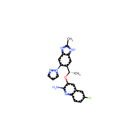 Cc1nc2cc(-n3cccn3)c([C@H](C)Oc3cc4cc(F)ccc4nc3N)cc2[nH]1